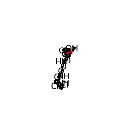 O=C(Cc1ccccc1Nc1c(Cl)cccc1Cl)NCCOCCOCCNC(=O)Oc1ccc2c3c1OC1C(=O)CC[C@@]4(O)C(C2)N(CC2CC2)CCC314